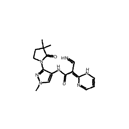 Cn1cc(NC(=O)/C(C=N)=C2\N=CC=CN2)c(N2CCC(C)(C)C2=O)n1